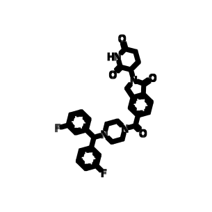 O=C1CCC(N2Cc3cc(C(=O)N4CCN(C(c5cccc(F)c5)c5cccc(F)c5)CC4)ccc3C2=O)C(=O)N1